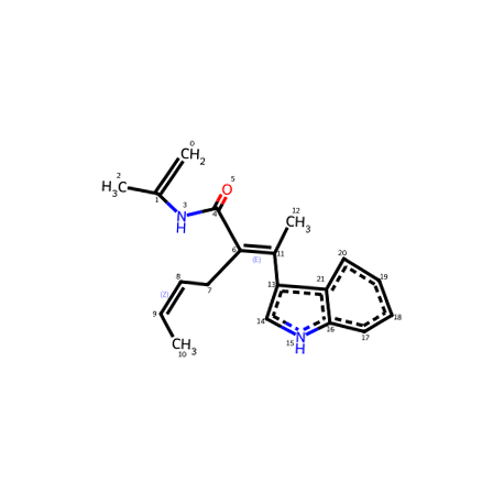 C=C(C)NC(=O)/C(C/C=C\C)=C(\C)c1c[nH]c2ccccc12